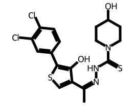 C/C(=N/NC(=S)N1CCC(O)CC1)c1csc(-c2ccc(Cl)c(Cl)c2)c1O